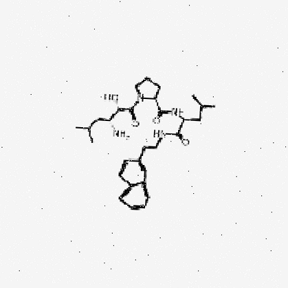 CC(C)C[C@H](NC(=O)[C@@H]1CCCN1C(=O)[C@@H](O)[C@H](N)CC(C)C)C(=O)NCCc1ccc2ccccc2c1